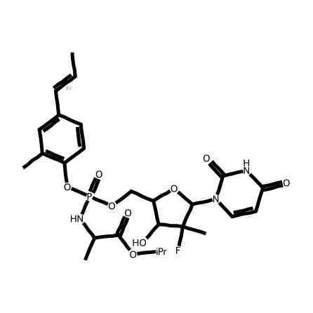 C/C=C/c1ccc(OP(=O)(NC(C)C(=O)OC(C)C)OCC2OC(n3ccc(=O)[nH]c3=O)C(C)(F)C2O)c(C)c1